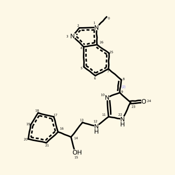 Cn1cnc2ccc(/C=C3\N=C(NCC(O)c4ccccc4)NC3=O)cc21